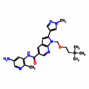 Cc1ncc(N)cc1NC(=O)c1cnc2c(c1)cc(-c1cnn(C)c1)n2COCC[Si](C)(C)C